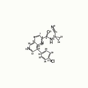 N#CC1(NC(=O)c2ccc3cncc(-c4ccc(Cl)cc4)c3n2)CC1